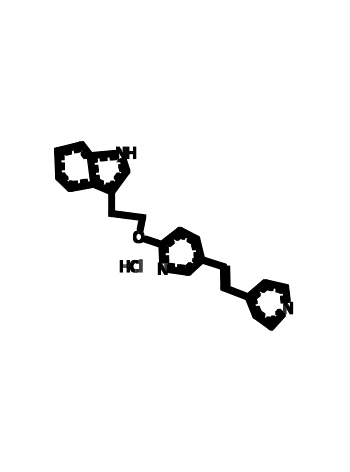 C(=Cc1ccc(OCCc2c[nH]c3ccccc23)nc1)c1ccncc1.Cl